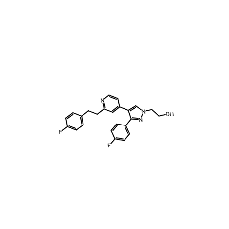 OCCn1cc(-c2ccnc(CCc3ccc(F)cc3)c2)c(-c2ccc(F)cc2)n1